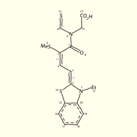 CCN1/C(=C/C=C(/SC)C(=O)N(C=S)CC(=O)O)Sc2ccccc21